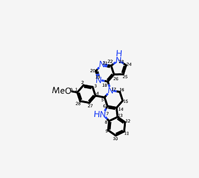 COc1ccc(C2c3[nH]c4ccccc4c3CCN2c2ncnc3[nH]ccc23)cc1